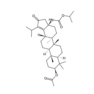 CC(=O)O[C@H]1CC[C@]2(C)[C@H]3CC[C@@H]4C5=C(C(C)C)C(=O)C[C@]5(NC(=O)OC(C)C)CC[C@@]4(C)[C@]3(C)CC[C@H]2C1(C)C